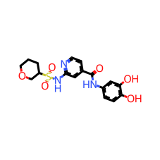 O=C(Nc1ccc(O)c(O)c1)c1ccnc(NS(=O)(=O)C2CCCOC2)c1